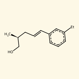 CCc1cccc(/C=C/C[C@H](C)CO)c1